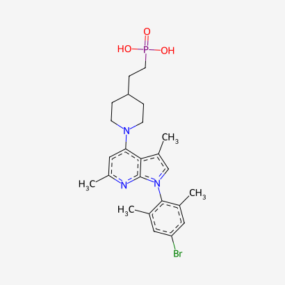 Cc1cc(N2CCC(CCP(=O)(O)O)CC2)c2c(C)cn(-c3c(C)cc(Br)cc3C)c2n1